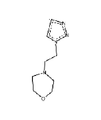 [c]1cn(CCN2CCOCC2)nn1